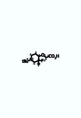 CC(C)(C)N1CCC(OCC(=O)O)C(F)(F)C1